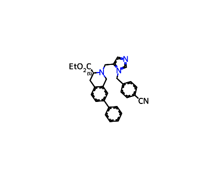 CCOC(=O)[C@@H]1Cc2ccc(-c3ccccc3)cc2CN1Cc1cncn1Cc1ccc(C#N)cc1